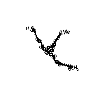 C=CC(=O)OCCCCCCOc1ccc(CCOC(=O)C2CCC(C(=O)Oc3cccc(-c4nc5ccc(OCCOCCOC)cc5nc4-c4cccc(OC(=O)C5CCC(C(=O)OCCc6ccc(OCCCCCCOC(=O)C=C)cc6)CC5)c4)c3)CC2)cc1